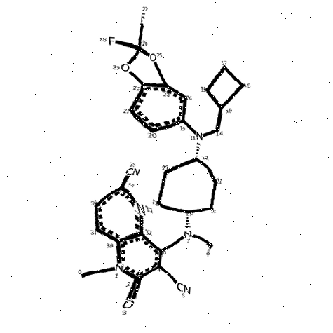 Cn1c(=O)c(C#N)c(N(C)[C@H]2CC[C@@H](N(CC3CCC3)c3ccc4c(c3)OC(F)(F)O4)CC2)c2nc(C#N)ccc21